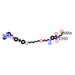 CNC(=O)CCC(C=O)N1C(=O)c2ccc(NCCCCOCCCCCCCCOc3ccc(C(C)(C)c4ccc(OCc5ccnc(-n6cccn6)n5)cc4)cc3)cc2C1=O